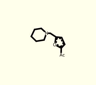 CC(=O)c1ccc(CN2CCCCC2)o1